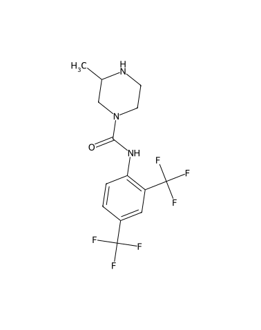 CC1CN(C(=O)Nc2ccc(C(F)(F)F)cc2C(F)(F)F)CCN1